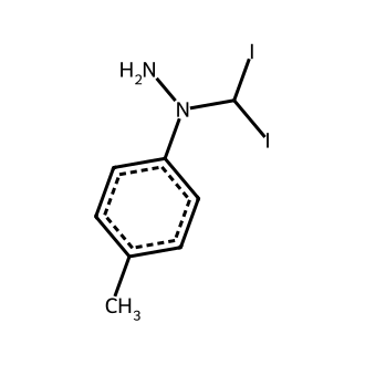 Cc1ccc(N(N)C(I)I)cc1